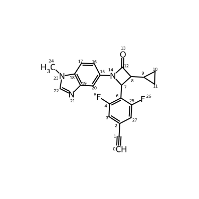 C#Cc1cc(F)c(C2C(C3CC3)C(=O)N2c2ccc3c(c2)ncn3C)c(F)c1